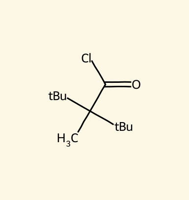 CC(C)(C)C(C)(C(=O)Cl)C(C)(C)C